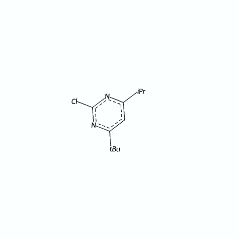 CC(C)c1cc(C(C)(C)C)nc(Cl)n1